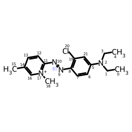 CCN(CC)c1ccc(/N=N/c2ccc(C)c[n+]2C)c(Cl)c1